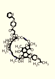 C/C1=C/C=C/C(C)[C@H](O)[C@@H](C)C(O)[C@@H](C)[C@H](OC(=O)CC(=O)N2CCN(Cc3ccccn3)CC2)CC/C=C/O[C@@]2(C)Oc3c(C)c(O)c4c(c3C2=O)C2=NC3(CCN(CC(C)C)CC3)NC2=C(NC1=O)C4=O